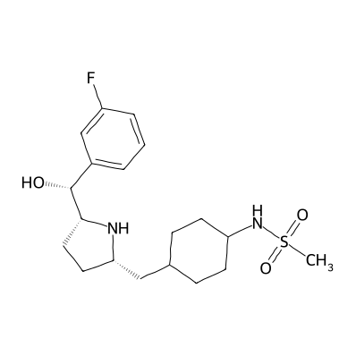 CS(=O)(=O)NC1CCC(C[C@@H]2CC[C@H]([C@H](O)c3cccc(F)c3)N2)CC1